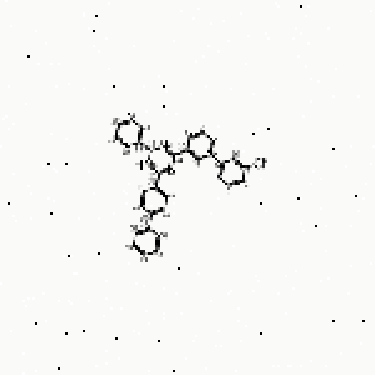 Clc1cccc(-c2cccc(C3=NC(c4ccccc4)NC(c4ccc(-c5ccccc5)cc4)=N3)c2)c1